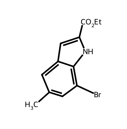 CCOC(=O)c1cc2cc(C)cc(Br)c2[nH]1